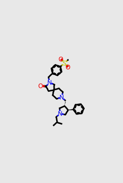 CC(C)CN1C[C@H](CN2CCC3(CC2)CC(=O)N(Cc2ccc(S(C)(=O)=O)cc2)C3)[C@@H](c2ccccc2)C1